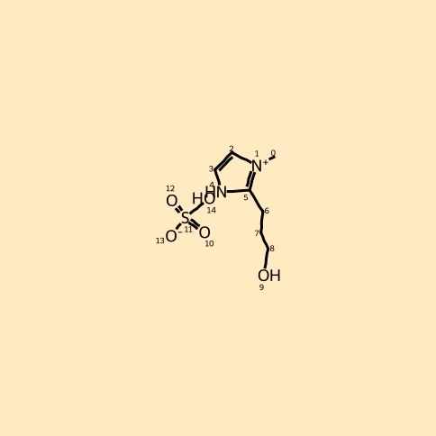 C[n+]1cc[nH]c1CCCO.O=S(=O)([O-])O